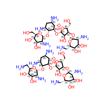 NC[C@@H]1O[C@H](O[C@H]2[C@@H](O)[C@H](O[C@@H]3[C@@H](O)[C@H](N)C[C@H](N)[C@H]3O[C@H]3O[C@H](CN)[C@@H](O)[C@H](O)[C@H]3N)O[C@@H]2CO)[C@H](N)[C@@H](O)[C@@H]1O.NC[C@@H]1O[C@H](O[C@H]2[C@@H](O)[C@H](O[C@@H]3[C@@H](O)[C@H](N)C[C@H](N)[C@H]3O[C@H]3O[C@H](CO)[C@@H](O)[C@H](O)[C@H]3N)O[C@@H]2CO)[C@H](N)[C@@H](O)[C@@H]1O